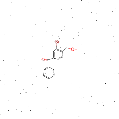 O=C(c1ccccc1)c1ccc(CO)c(Br)c1